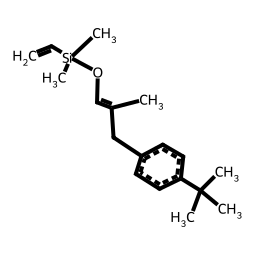 C=C[Si](C)(C)O/C=C(\C)Cc1ccc(C(C)(C)C)cc1